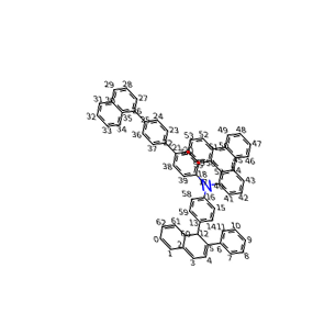 C1=CC2=CC=C(c3ccccc3)C(c3ccc(N(c4ccc(-c5ccc(-c6cccc7ccccc67)cc5)cc4)c4cccc5c6ccccc6c6ccccc6c45)cc3)C2C=C1